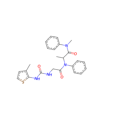 Cc1ccsc1NC(=O)NCC(=O)N(c1ccccc1)C(C)C(=O)N(C)c1ccccc1